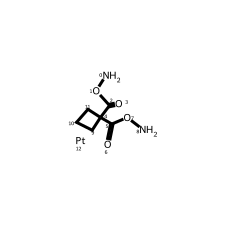 NOC(=O)C1(C(=O)ON)CCC1.[Pt]